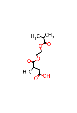 CC(C)C(=O)OCCOC(=O)C(C)CC(=O)O